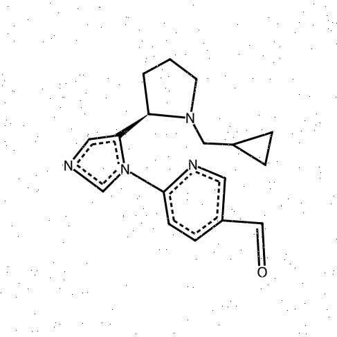 O=Cc1ccc(-n2cncc2[C@H]2CCCN2CC2CC2)nc1